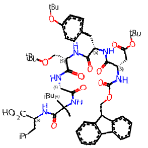 CC[C@H](C)[C@H](NC(=O)[C@H](COC(C)(C)C)NC(=O)[C@H](Cc1ccc(OC(C)(C)C)cc1)NC(=O)[C@H](CC(=O)OC(C)(C)C)NC(=O)OCC1c2ccccc2-c2ccccc21)C(=O)NC(C)(C)C(=O)N[C@@H](CC(C)C)C(=O)O